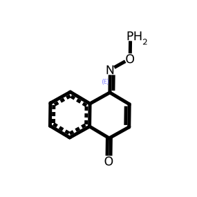 O=C1C=C/C(=N\OP)c2ccccc21